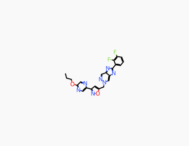 CCCOc1cnc(-c2cc(Cn3cc4nc(-c5cccc(F)c5F)nc-4cn3)on2)cn1